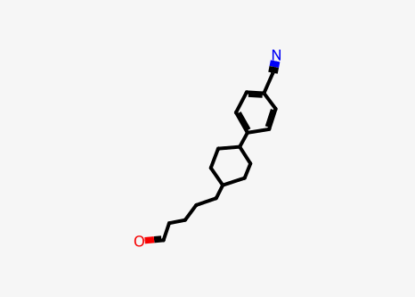 N#Cc1ccc(C2CCC(CCCCC=O)CC2)cc1